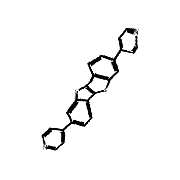 c1cc(-c2ccc3c(c2)sc2c4ccc(-c5ccncc5)cc4sc32)ccn1